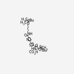 CC(C)(C)[Si](C)(C)OCCCCCNC(=O)c1ccc(-c2nc(C(=O)NC(CO[Si](C)(C)C(C)(C)C)C(=O)O)cs2)cn1